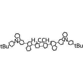 CC(C)(C)c1ccc(-n2c3ccccc3c3cc(-c4ccc(-c5ccc6c(c5)C(C)(C)c5cc(-c7ccc(-c8ccc9c(c8)c8ccccc8n9-c8ccc(C(C)(C)C)cc8)c8ccccc78)ccc5-6)c5ccccc45)ccc32)cc1